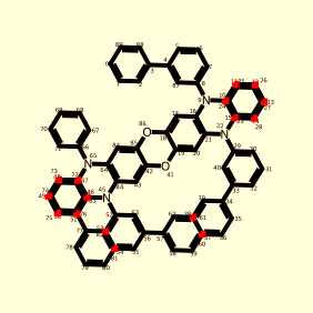 c1ccc(-c2cccc(N(c3ccccc3)c3cc4c(cc3N(c3ccccc3)c3cccc(-c5ccccc5)c3)Oc3cc(N(c5ccccc5)c5cccc(-c6ccccc6)c5)c(N(c5ccccc5)c5cccc(-c6ccccc6)c5)cc3O4)c2)cc1